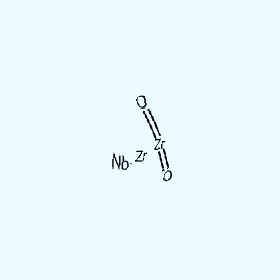 [Nb].[O]=[Zr]=[O].[Zr]